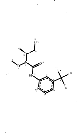 CON(C(=O)Nc1cc(C(F)(F)F)ccn1)[C@@H](C)CO